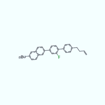 C=CCCc1ccc(-c2ccc(-c3ccc4cc(CCCC)ccc4c3)cc2F)cc1